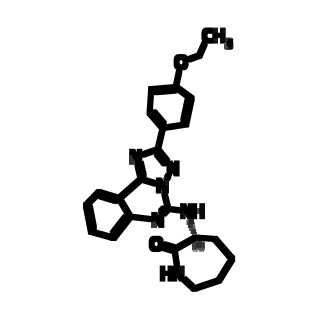 CCOc1ccc(-c2nc3c4ccccc4nc(N[C@@H]4CCCCNC4=O)n3n2)cc1